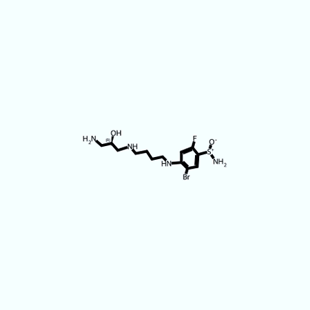 NC[C@@H](O)CNCCCCNc1cc(F)c([S+](N)[O-])cc1Br